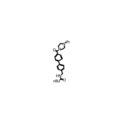 CCCCC(=O)NCc1ccc(-c2ccc(C(=O)N3CCN(C(C)C)CC3)cc2)cc1